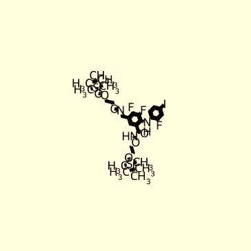 CC(C)(C)[Si](C)(C)OCCONC(=O)c1cc(/C=N/OCCOO[Si](C)(C)C(C)(C)C)c(F)c(F)c1Nc1ccc(I)cc1F